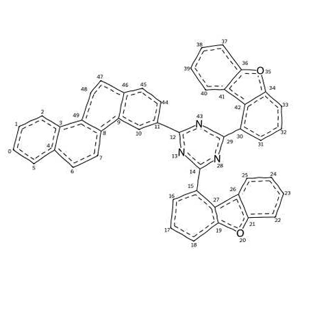 c1ccc2c(c1)ccc1c3cc(-c4nc(-c5cccc6oc7ccccc7c56)nc(-c5cccc6oc7ccccc7c56)n4)ccc3ccc21